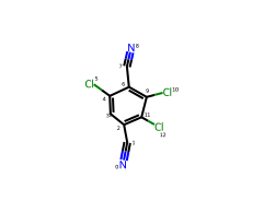 N#Cc1[c]c(Cl)c(C#N)c(Cl)c1Cl